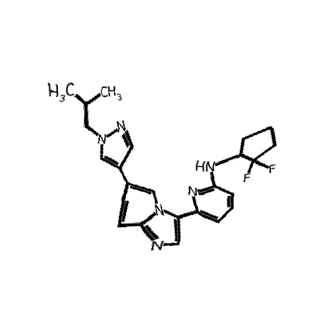 CC(C)Cn1cc(-c2ccc3ncc(-c4cccc(NC5CCCC5(F)F)n4)n3c2)cn1